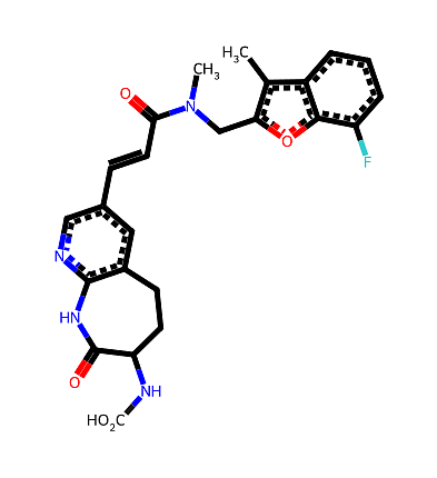 Cc1c(CN(C)C(=O)C=Cc2cnc3c(c2)CCC(NC(=O)O)C(=O)N3)oc2c(F)cccc12